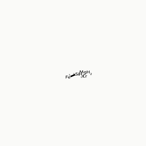 [Cr].[MgH2].[SiH3][Fe]